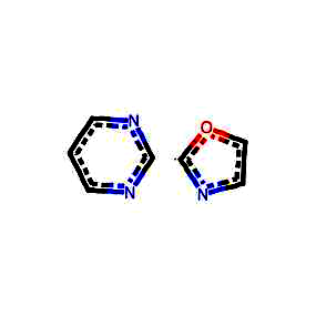 [c]1ncco1.c1cncnc1